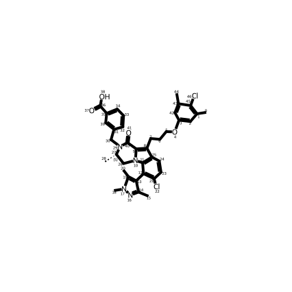 Cc1cc(OCCCc2c3n(c4c(-c5c(C)nn(C)c5C)c(Cl)ccc24)C[C@H](C)N(Cc2cccc(C(=O)O)c2)C3=O)cc(C)c1Cl